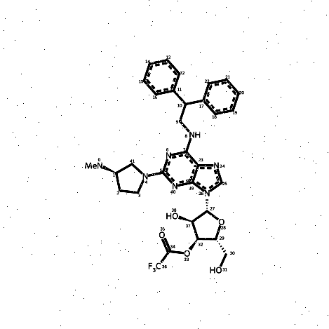 CN[C@@H]1CCN(c2nc(NCC(c3ccccc3)c3ccccc3)c3ncn([C@@H]4O[C@H](CO)[C@@H](OC(=O)C(F)(F)F)[C@H]4O)c3n2)C1